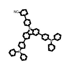 N#Cc1cccc(-c2ccc(-n3c4ccc(-c5ccc(N(c6ccccc6)c6ccccc6)cc5)cc4c4cc(-c5ccc(N(c6ccccc6)c6ccccc6)cc5)ccc43)cc2)c1